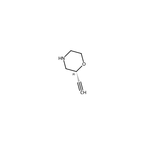 C#C[C@@H]1CNCCO1